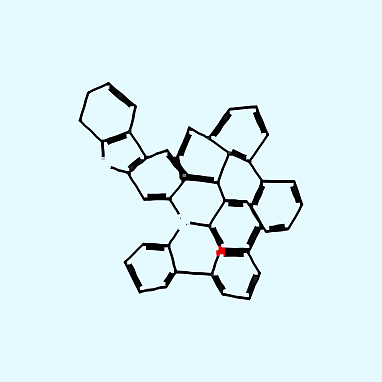 C1=Cc2c(oc3cc(N(c4ccccc4-c4ccccc4)c4ccccc4-c4cccc5cccc(-c6ccccc6)c45)ccc23)CC1